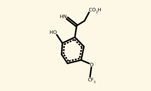 N=C(CC(=O)O)c1cc(OC(F)(F)F)ccc1O